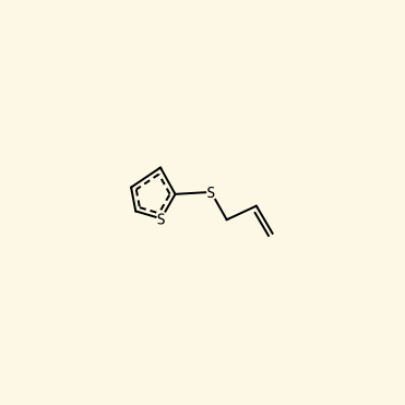 C=CCSc1cccs1